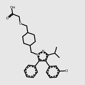 CC(C)c1nn(CC2CCC(COCC(=O)O)CC2)c(-c2ccccc2)c1-c1cccc(Cl)c1